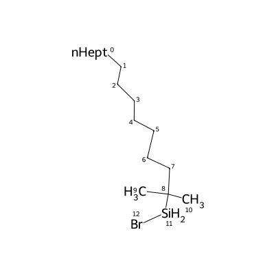 CCCCCCCCCCCCCCC(C)(C)[SiH2]Br